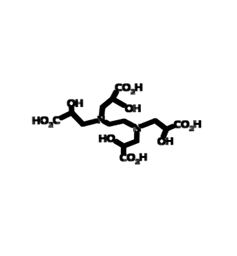 O=C(O)C(O)CN(CCN(CC(O)C(=O)O)CC(O)C(=O)O)CC(O)C(=O)O